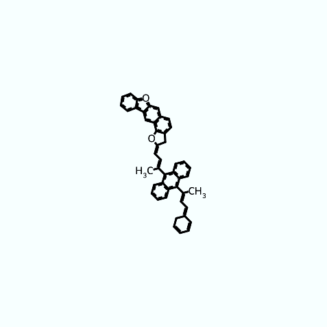 C/C(=C\C=C1\C=CC=CC1)c1c2ccccc2c(/C(C)=C/C=C2\Cc3ccc4cc5oc6ccccc6c5cc4c3O2)c2ccccc12